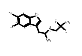 CC(Cc1c[nH]c2cc(F)c(F)cc12)NCC(C)(F)F